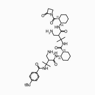 CC(C)(C)c1ccc(C(=O)NC(C)(C)C(CN)C(=O)N[C@@H]2CCCC[C@@H]2C(=O)NC(C)(C)C(CN)C(=O)N[C@@H]2CCCC[C@@H]2C(=O)N2CCC2=O)cc1